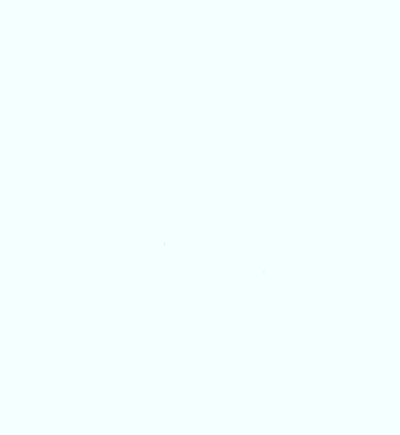 CCOC(=O)c1cc(-c2ccc(C(F)(F)F)cc2)oc1C1CCCCC1